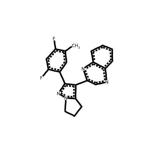 Cc1cc(-c2nn3c(c2-c2cnc4ccccc4n2)CCC3)c(F)cc1F